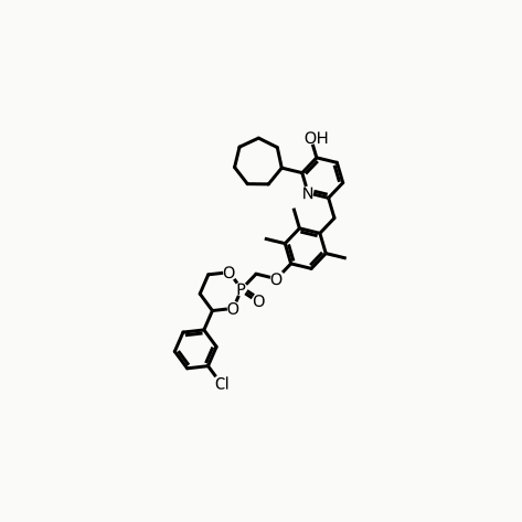 Cc1cc(OCP2(=O)OCCC(c3cccc(Cl)c3)O2)c(C)c(C)c1Cc1ccc(O)c(C2CCCCCC2)n1